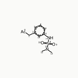 CC(=O)Cc1cccc(NS(=O)(=O)N(C)C)c1